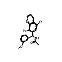 COc1cccc(C(NC(C)=O)c2cc(Cl)c3cccnc3c2O)c1